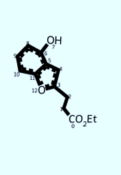 CCOC(=O)CCc1cc2c(O)cccc2o1